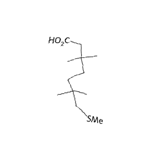 CSCC(C)(C)CCC(C)(C)CC(=O)O